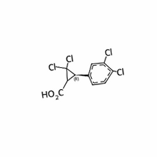 O=C(O)C1[C@H](c2ccc(Cl)c(Cl)c2)C1(Cl)Cl